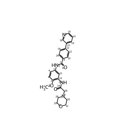 COc1ccc(NC(=O)c2ccc(-c3cccnc3)cc2)cc1NC(=O)CN1CCOCC1